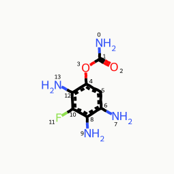 NC(=O)Oc1cc(N)c(N)c(F)c1N